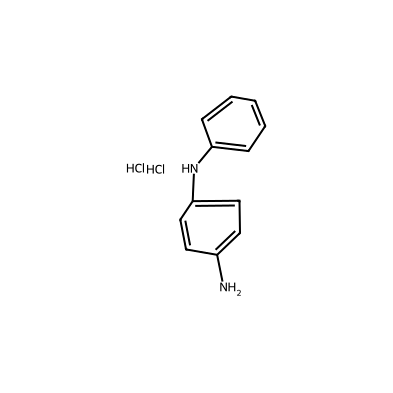 Cl.Cl.Nc1ccc(Nc2ccccc2)cc1